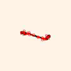 O=C(COc1ccc2sc3ccccc3c(=O)c2c1)OCCCCOCCCCOCCCCOC(=O)COc1ccc2sc3ccccc3c(=O)c2c1